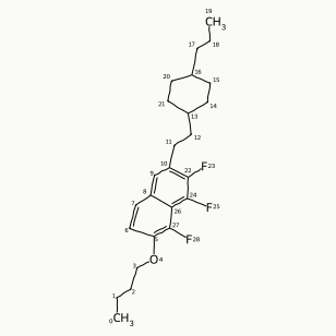 CCCCOc1ccc2cc(CCC3CCC(CCC)CC3)c(F)c(F)c2c1F